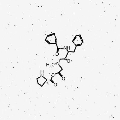 CN(CC(=O)OC(=O)[C@@H]1CCCN1)CC(=O)C(Cc1ccccc1)NC(=O)c1ccccc1